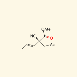 C/C=C/[C@@](C#N)(CC(C)=O)C(=O)OC